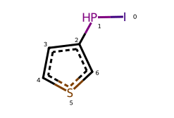 IPc1ccsc1